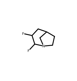 F[C]1C(F)CC2CCN1C2